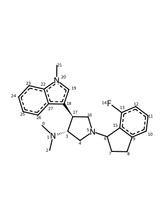 CN(C)[C@H]1CN(C2CCc3cccc(F)c32)C[C@@H]1c1cn(C)c2ccccc12